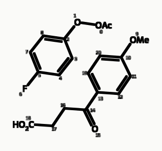 CC(=O)OOc1ccc(F)cc1.COc1ccc(C(=O)CCC(=O)O)cc1